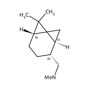 CNC[C@@H]1CC[C@@H]2C(C)(C)C23C[C@@H]13